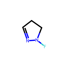 FN1CCC=N1